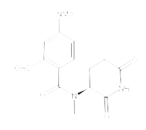 CNc1ccc(C(=O)N(C)[C@H]2CCC(=O)NC2=O)c(C=O)c1